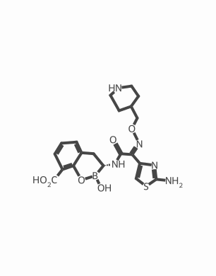 Nc1nc(/C(=N/OCC2CCNCC2)C(=O)N[C@H]2Cc3cccc(C(=O)O)c3OB2O)cs1